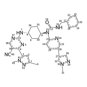 Cc1cc(-c2nc(N[C@H]3CC[C@H](N(C(=O)NCc4ccccc4)c4ccc(-c5cnn(C)c5)cn4)CC3)ncc2C#N)n(C)n1